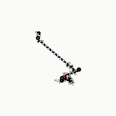 CC[C@@]1(O)C(=O)OCc2c1cc1c3nc4cc(F)c(C)c5c4c4c3c(n1c2=O)=C([C@@H](O)OCNC(=O)CNC(=O)[C@H](Cc1ccccc1)NC(=O)CNC(=O)CNC(=O)COCCOCCOCCOCCOCCOCCOCCOCCOCCNC(=O)[C@H]1CC[C@H](CN2C(=O)C=CC2=O)CC1)N[C@H]4CC5